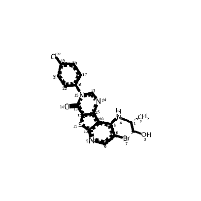 C[C@H](CO)Nc1c(Br)cnc2sc3c(=O)n(-c4ccc(Cl)cc4)cnc3c12